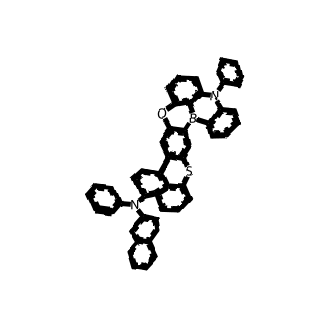 c1cccc(N(c2ccc3ccccc3c2)c2ccc3c4c(cccc24)Sc2cc4c(cc2-3)Oc2cccc3c2B4c2ccccc2N3c2ccccc2)c#1